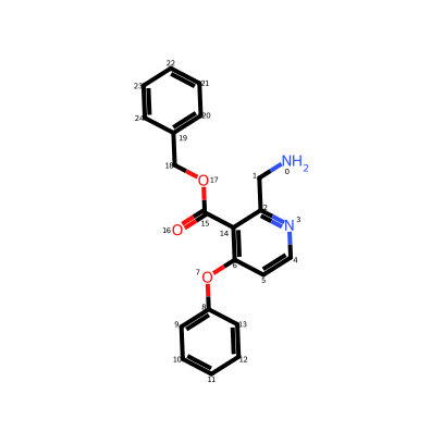 NCc1nccc(Oc2ccccc2)c1C(=O)OCc1ccccc1